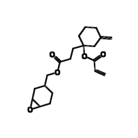 C=CC(=O)OC1(CCC(=O)OCC2CCC3OC3C2)CCCC(=C)C1